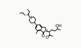 CCC[C@H](CC)N1CCC(c2cc(C)c3c(c2)CN(C(CCC(C)O)C(C)=O)C3=O)CC1